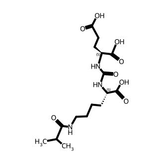 CC(C)C(=O)NCCCC[C@H](NC(=O)N[C@@H](CCC(=O)O)C(=O)O)C(=O)O